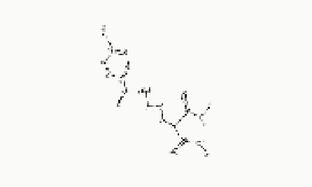 COC(=O)C(CCCN[C@@H](C)c1ccc(F)cc1)C(=O)OC